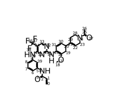 C=CC(=O)Nc1cccc(Nc2nc(NC3=C(OC)CC(C4=CCN(C(C)=O)CC4)C=C3)ncc2C(F)(F)F)c1